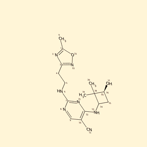 Cc1nc(CCNc2ncc(C#N)c(NC3C[C@H](O)C3(C)C)n2)no1